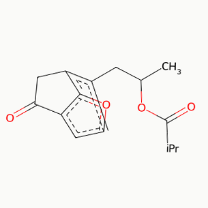 CC(Cc1c2c3oc1cc3C(=O)C2)OC(=O)C(C)C